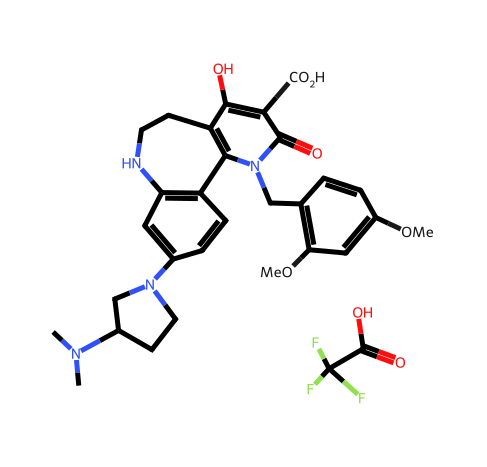 COc1ccc(Cn2c3c(c(O)c(C(=O)O)c2=O)CCNc2cc(N4CCC(N(C)C)C4)ccc2-3)c(OC)c1.O=C(O)C(F)(F)F